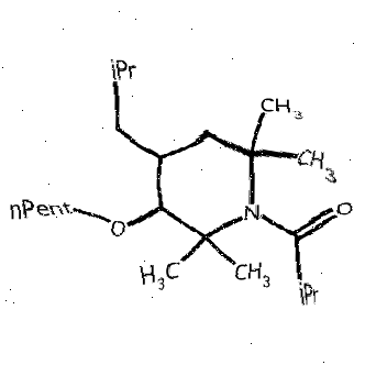 CCCCCOC1C(CC(C)C)CC(C)(C)N(C(=O)C(C)C)C1(C)C